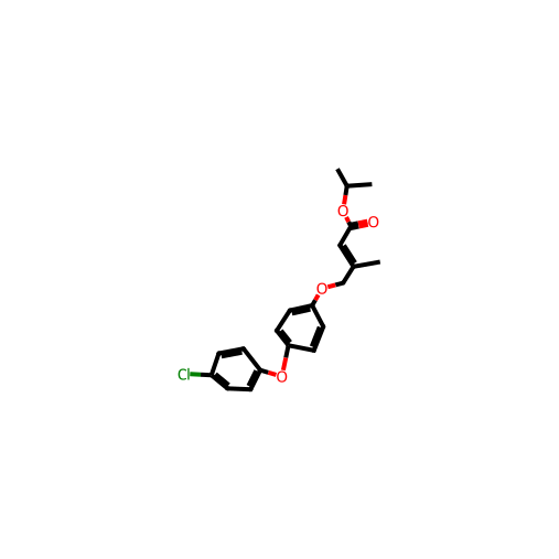 CC(=CC(=O)OC(C)C)COc1ccc(Oc2ccc(Cl)cc2)cc1